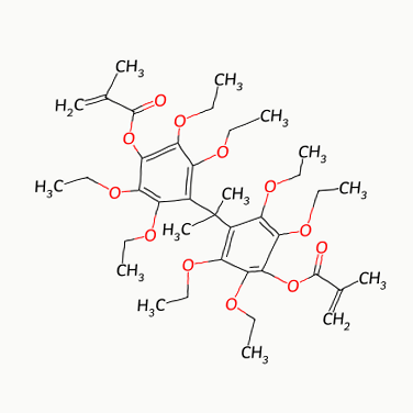 C=C(C)C(=O)Oc1c(OCC)c(OCC)c(C(C)(C)c2c(OCC)c(OCC)c(OC(=O)C(=C)C)c(OCC)c2OCC)c(OCC)c1OCC